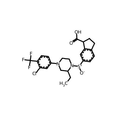 CCC1CN(c2ccc(C(F)(F)F)c(Cl)c2)CCN1[S+]([O-])c1ccc2c(c1)C(C(=O)O)CC2